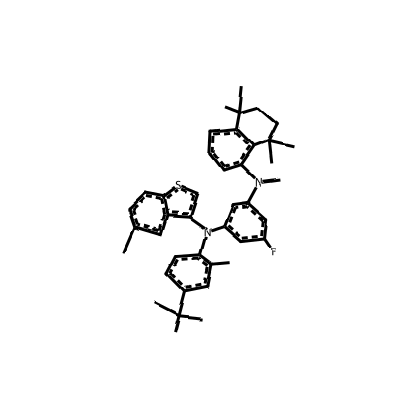 Cc1ccc2scc(N(c3cc(F)cc(N(C)c4cccc5c4C(C)(C)CCC5(C)C)c3)c3ccc(C(C)(C)C)cc3C)c2c1